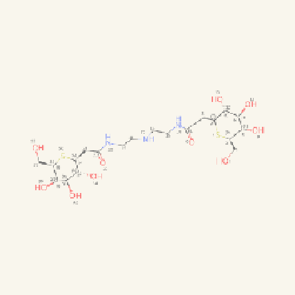 O=C(C[C@@H]1S[C@H](CO)[C@H](O)[C@H](O)[C@H]1O)NCCNCCNC(=O)C[C@@H]1S[C@H](CO)[C@H](O)[C@H](O)[C@H]1O